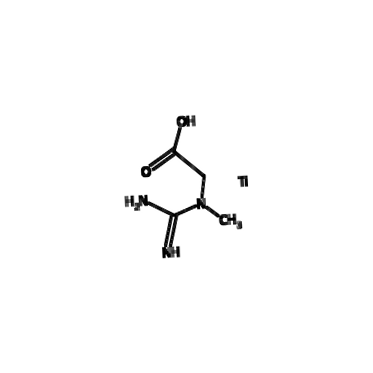 CN(CC(=O)O)C(=N)N.[Ti]